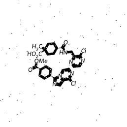 COC(=O)[C@H]1CC[C@H](c2ncc3c(Cl)nccn32)CC1.C[C@]1(C(=O)O)CC[C@H](C(=O)NCc2nccnc2Cl)CC1